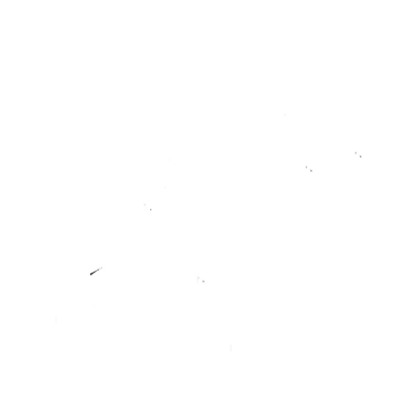 COc1ccc([C@@H](CC(=O)O)C2(F)CN(C(=O)CCCc3ccc4c(n3)NCCC4)C2)cn1